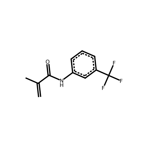 C=C(C)C(=O)Nc1cccc(C(F)(F)F)c1